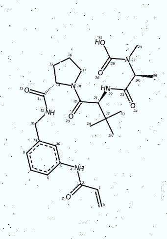 C=CC(=O)Nc1cccc(CNC(=O)[C@@H]2CCCN2C(=O)[C@@H](NC(=O)[C@H](C)N(C)C(=O)O)C(C)(C)C)c1